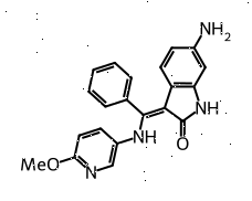 COc1ccc(N/C(=C2\C(=O)Nc3cc(N)ccc32)c2ccccc2)cn1